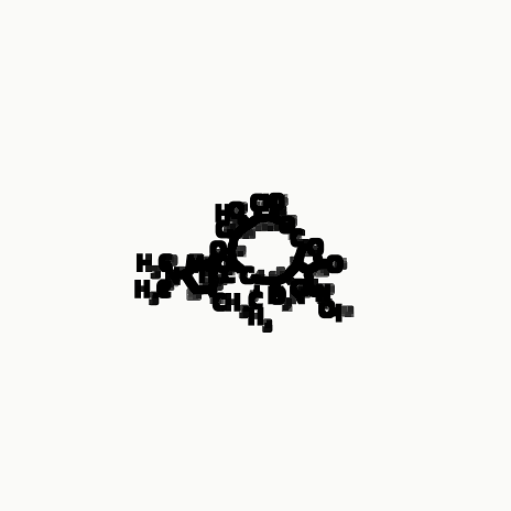 CO[C@]1(C)C[C@@H](C)C(=O)[C@H](C)C2C(COC(=O)C(C)C(=O)C(C)[C@H]1OC1CC(N(C)C)CC(C)O1)OC(=O)C2/C(N)=N/OI